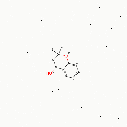 CC1(C)CC(O)c2ccccc2O1